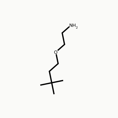 CC(C)(C)CCOCCN